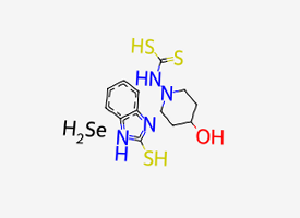 OC1CCN(NC(=S)S)CC1.Sc1nc2ccccc2[nH]1.[SeH2]